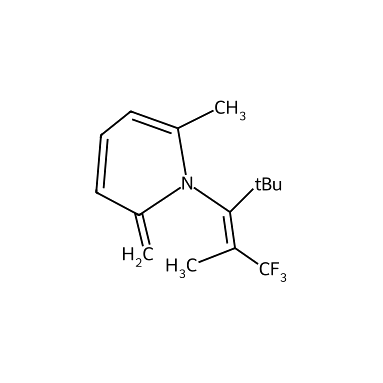 C=C1C=CC=C(C)N1/C(=C(\C)C(F)(F)F)C(C)(C)C